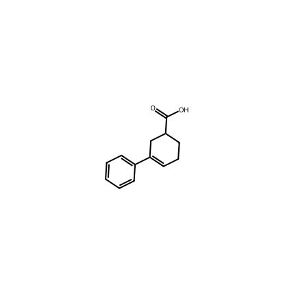 O=C(O)C1CCC=C(c2ccccc2)C1